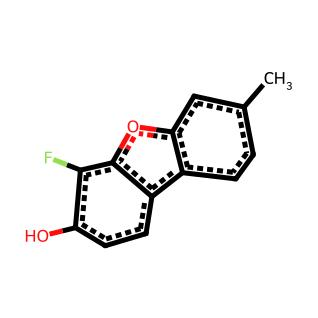 Cc1ccc2c(c1)oc1c(F)c(O)ccc12